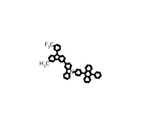 Cc1ccc2c(c1)-c1cc(-c3ccc4c(c3)c3ccccc3n4-c3ccc(-c4c5ccccc5c(-c5ccccc5)c5ccccc45)cc3)ccc1C2c1cccc(C(F)(F)F)c1